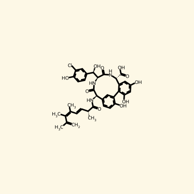 C=C(C)/C(C)=C(C)\C=C\[C@@H](C)C(=O)N[C@H]1C(=O)N[C@@H]([C@H](O)c2ccc(O)c(Cl)c2)C(=O)N[C@H](C(=O)O)c2cc(O)cc(O)c2-c2cc1ccc2O